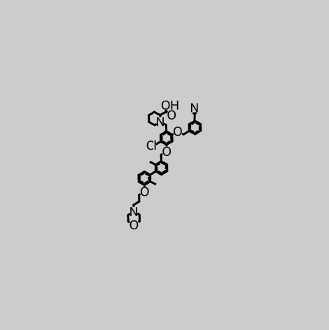 Cc1c(COc2cc(OCc3cccc(C#N)c3)c(CN3CCCCC3C(=O)O)cc2Cl)cccc1-c1cccc(OCCCN2CCOCC2)c1C